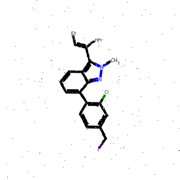 CCC=C(CCC)c1c2cccc(-c3ccc(CI)cc3Cl)c2nn1C